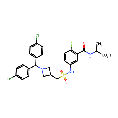 CC(NC(=O)c1cc(NS(=O)(=O)CC2CN(C(c3ccc(Cl)cc3)c3ccc(Cl)cc3)C2)ccc1F)C(=O)O